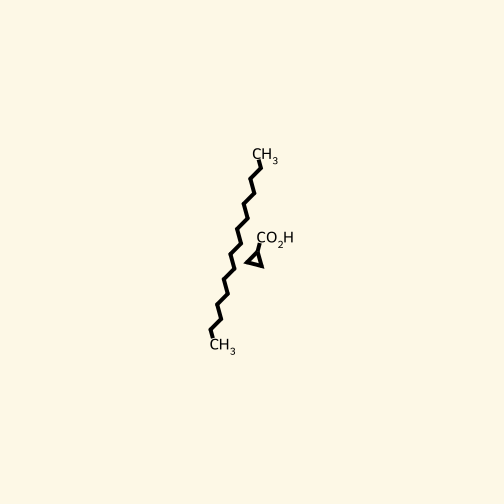 CCCCCCCCCCCCCCCC.O=C(O)C1CC1